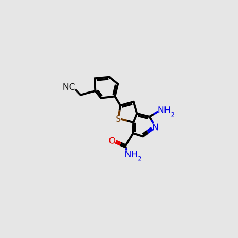 N#CCc1cccc(-c2cc3c(N)ncc(C(N)=O)c3s2)c1